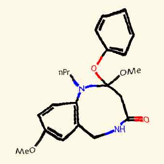 CCCN1c2ccc(OC)cc2CNC(=O)CC1(OC)Oc1ccccc1